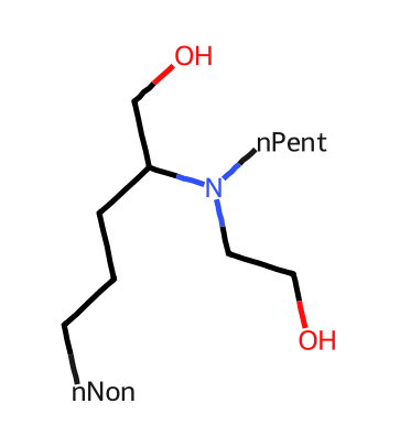 CCCCCCCCCCCCC(CO)N(CCO)CCCCC